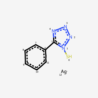 Sn1nnnc1-c1ccccc1.[Ag]